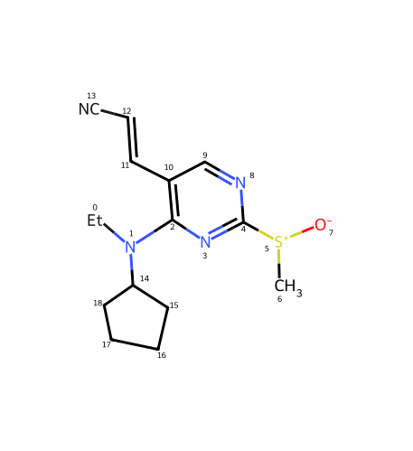 CCN(c1nc([S+](C)[O-])ncc1C=CC#N)C1CCCC1